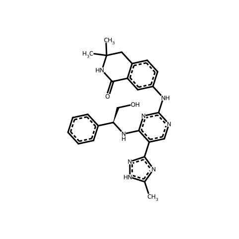 Cc1nc(-c2cnc(Nc3ccc4c(c3)C(=O)NC(C)(C)C4)nc2N[C@H](CO)c2ccccc2)n[nH]1